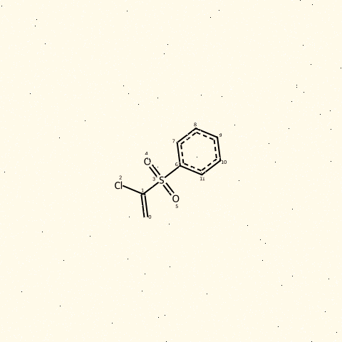 C=C(Cl)S(=O)(=O)c1ccccc1